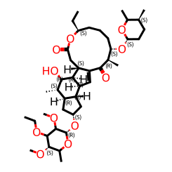 CCOC1C(OC)[C@H](O[C@@H]2C[C@H]3[C@H](C)[C@@H](O)[C@@H]4[C@@H](C=C5C(=O)[C@H](C)[C@@H](O[C@H]6CC[C@H](C)C(C)O6)CCC[C@H](CC)OC(=O)C[C@H]54)[C@@H]3C2)OC(C)[C@@H]1OC